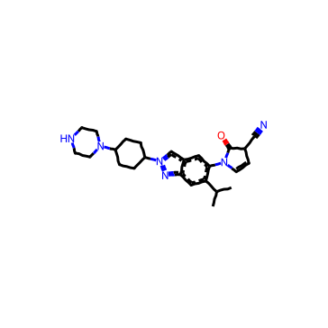 CC(C)c1cc2nn(C3CCC(N4CCNCC4)CC3)cc2cc1N1C=CC(C#N)C1=O